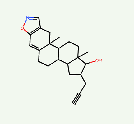 C#CCC1CC2C3CCC4=Cc5oncc5CC4(C)C3CCC2(C)C1O